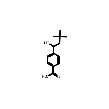 CC(C)(C)CC(O)c1ccc(C(N)=O)cc1